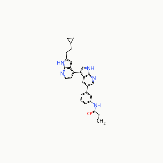 C=CC(=O)Nc1cccc(-c2cnc3[nH]cc(-c4ccnc5[nH]c(CCC6CC6)cc45)c3c2)c1